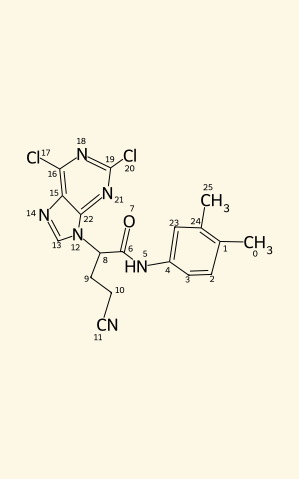 Cc1ccc(NC(=O)C(CCC#N)n2cnc3c(Cl)nc(Cl)nc32)cc1C